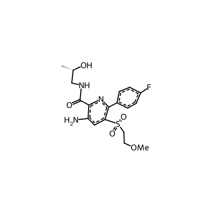 COCCS(=O)(=O)c1cc(N)c(C(=O)NC[C@H](C)O)nc1-c1ccc(F)cc1